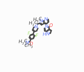 C[C@H](c1cc2c(-n3ccc4c(c3=O)CCN4)ccnc2n1C)N1CC=C(c2c(F)cc(C(=O)N(C)C)cc2F)CC1